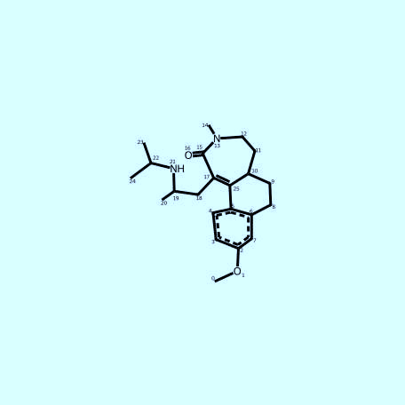 COc1ccc2c(c1)CCC1CCN(C)C(=O)C(CC(C)NC(C)C)=C21